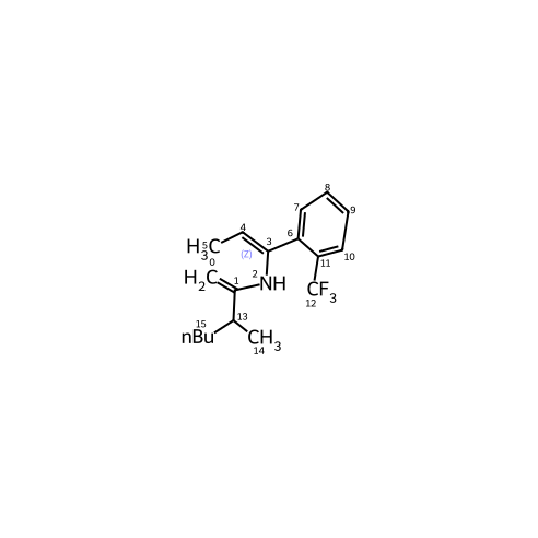 C=C(N/C(=C\C)c1ccccc1C(F)(F)F)C(C)CCCC